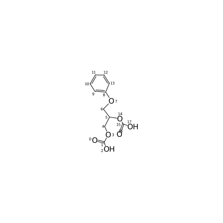 O=C(O)OCC(COc1ccccc1)OC(=O)O